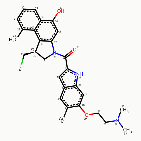 CC(=O)c1cc2cc(C(=O)N3C[C@@H](CCl)c4c3cc(O)c3cccc(C)c43)[nH]c2cc1OCCN(C)C